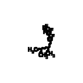 CCCC(CCC)CCCC(CCC)CCCc1ccc(-c2cc(F)c(OC(F)(F)F)c(F)c2)c(F)c1